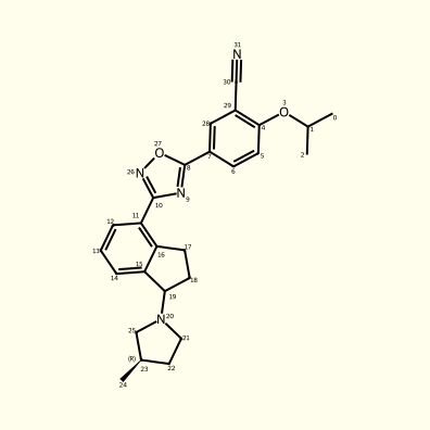 CC(C)Oc1ccc(-c2nc(-c3cccc4c3CCC4N3CC[C@@H](C)C3)no2)cc1C#N